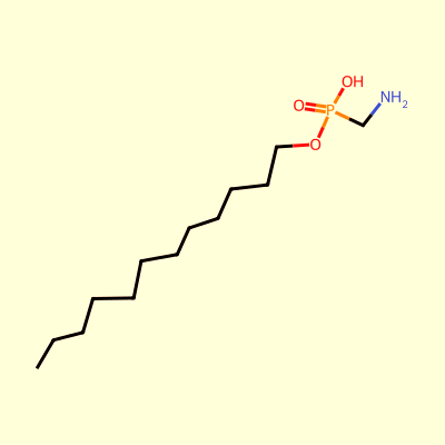 CCCCCCCCCCCCOP(=O)(O)CN